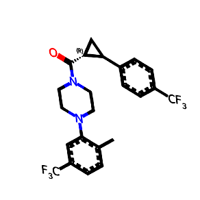 Cc1ccc(C(F)(F)F)cc1N1CCN(C(=O)[C@@H]2CC2c2ccc(C(F)(F)F)cc2)CC1